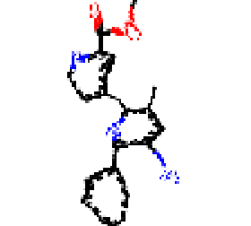 COC(=O)c1cc(-c2nc(-c3ccccc3)c(N)cc2C)ccn1